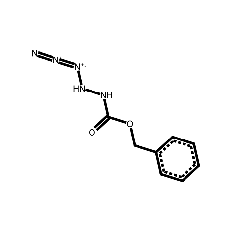 [N-]=[N+]=[N+]NNC(=O)OCc1ccccc1